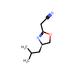 CC(C)C[C@@H]1COC(CC#N)=N1